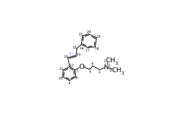 CN(C)CCCOc1ccccc1/C=C/Cc1ccccc1